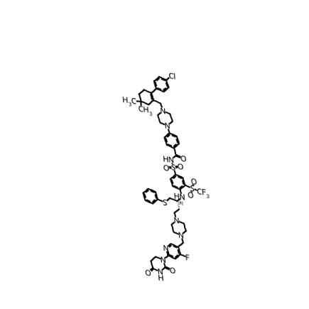 CC1(C)CCC(c2ccc(Cl)cc2)=C(CN2CCN(c3ccc(C(=O)NS(=O)(=O)c4ccc(N[C@H](CCN5CCN(Cc6cnc(N7CCC(=O)NC7=O)cc6F)CC5)CSc5ccccc5)c(S(=O)(=O)C(F)(F)F)c4)cc3)CC2)C1